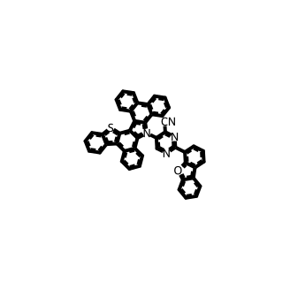 N#Cc1nc(-c2cccc3c2oc2ccccc23)ncc1-n1c2c3ccccc3c3ccccc3c2c2c3sc4ccccc4c3c3ccccc3c21